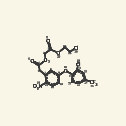 O=C(COC(=O)Cc1cc(Oc2ccc(C(F)(F)F)cc2Cl)ccc1[N+](=O)[O-])OCCCl